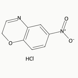 Cl.O=[N+]([O-])c1ccc2c(c1)N=CCO2